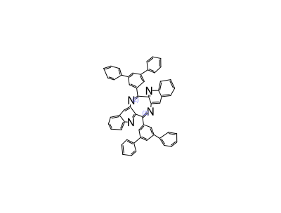 c1ccc(-c2cc(/C3=N/c4cc5ccccc5nc4/C(c4cc(-c5ccccc5)cc(-c5ccccc5)c4)=N\c4cc5ccccc5nc43)cc(-c3ccccc3)c2)cc1